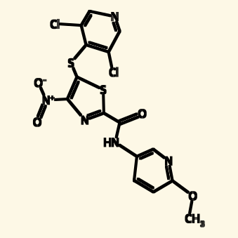 COc1ccc(NC(=O)c2nc([N+](=O)[O-])c(Sc3c(Cl)cncc3Cl)s2)cn1